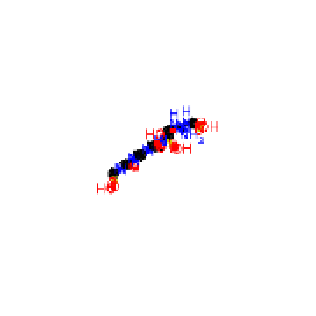 COc1cc(N=Nc2cccc(SOOO)c2)ccc1N=Nc1ccc(N=Nc2cc(OC)c(N=Nc3c(SOOO)cc4cc(Nc5nc(N)nc(Nc6ccc(S(=O)(=O)O)cc6)n5)ccc4c3O)cc2C)cc1C